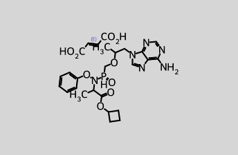 CC(Cn1cnc2c(N)ncnc21)OC[PH](=O)N(Oc1ccccc1)C(C)C(=O)OC1CCC1.O=C(O)/C=C/C(=O)O